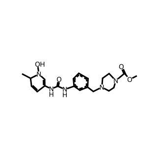 COC(=O)N1CCN(Cc2cccc(NC(=O)NC3=CN(O)C(C)C=C3)c2)CC1